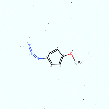 [N-]=[N+]=Nc1ccc(OC=O)cc1